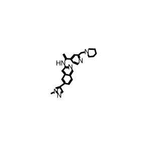 C=C(Nc1cc2cc(-c3cnn(C)c3)ccc2cn1)c1ccnc(CN2CCCCC2)c1